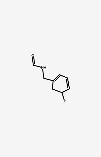 O=CNCC1=CC=CC(F)C1